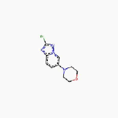 Brc1nc2ccc(N3CCOCC3)cn2n1